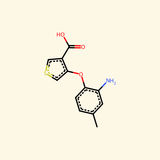 Cc1ccc(Oc2cscc2C(=O)O)c(N)c1